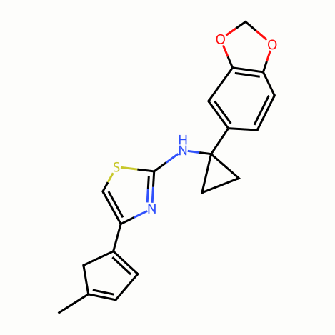 CC1=CC=C(c2csc(NC3(c4ccc5c(c4)OCO5)CC3)n2)C1